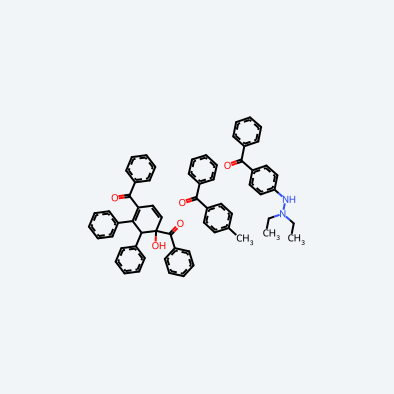 CCN(CC)Nc1ccc(C(=O)c2ccccc2)cc1.Cc1ccc(C(=O)c2ccccc2)cc1.O=C(C1=C(c2ccccc2)C(c2ccccc2)C(O)(C(=O)c2ccccc2)C=C1)c1ccccc1